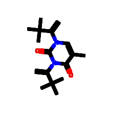 C=C(n1cc(C)c(=O)n(C(=C)C(C)(C)C)c1=O)C(C)(C)C